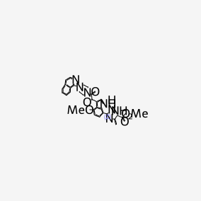 C=C(CC(=O)OC)/N=C(\NN)c1ccc(OC)c2c(C(=O)C(=O)N3CCN(c4nccc5ccccc45)CC3)c[nH]c12